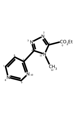 CCOC(=O)c1nnc(-c2ccncn2)n1C